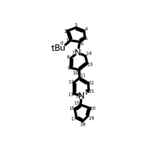 CC(C)(C)c1ccccc1N1C=CC(c2cc[n+](-c3ccccc3)cc2)=CC1